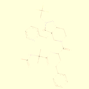 CC(C)(NC(=O)O)C(=O)NC(CCc1ccccc1)C(=O)N1CCC2=NN(CC(F)(F)F)C(=O)C2(Cc2ccccn2)C1